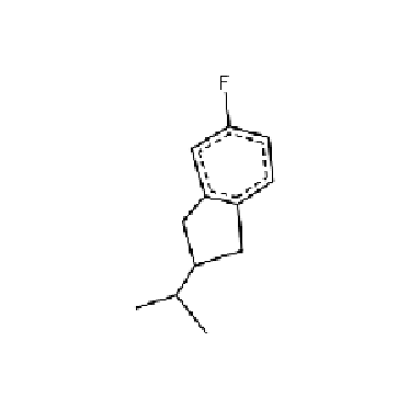 CC(C)C1Cc2ccc(F)cc2C1